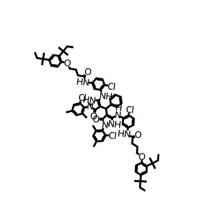 CCC(C)(C)c1ccc(OCCCC(=O)Nc2ccc(Cl)c(Nc3[nH]n(-c4c(C)cc(C)cc4Cl)c(=O)c3C(c3ccccc3)c3c(Nc4cc(NC(=O)CCCOc5ccc(C(C)(C)CC)cc5C(C)(C)CC)ccc4Cl)[nH]n(-c4c(C)cc(C)cc4Cl)c3=O)c2)c(C(C)(C)CC)c1